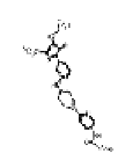 CNC(=O)Nc1ccc(N2CCC(Nc3cccc(-c4sc(C(=O)O)c(OCC(=O)O)c4Br)c3)CC2)nc1